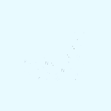 Cn1nc(C(=O)N(CCNC(=O)NCC2CC2)Cc2ccccc2F)c2c1-c1cc(Cl)ccc1OC2